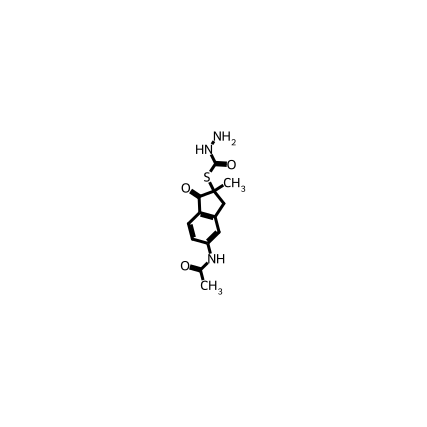 CC(=O)Nc1ccc2c(c1)CC(C)(SC(=O)NN)C2=O